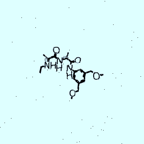 CCN[C@@H](C)C(=O)N[C@@H](C)C(=O)Nc1cc(COC)cc(COC)c1